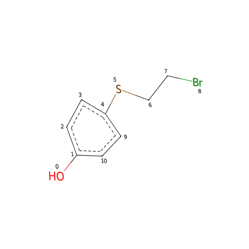 Oc1ccc(SCCBr)cc1